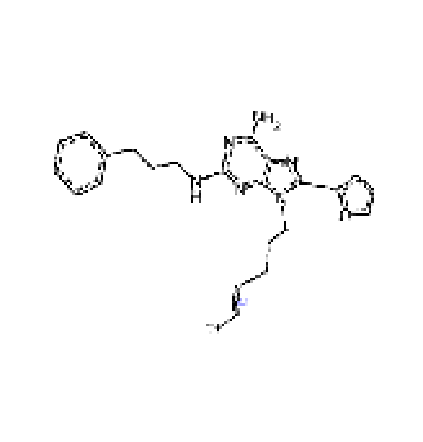 CC/C=C/CCCn1c(-c2ccco2)nc2c(N)nc(NCCCc3ccccc3)nc21